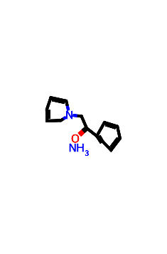 N.O=C(CN1C=CC=CC1)c1ccccc1